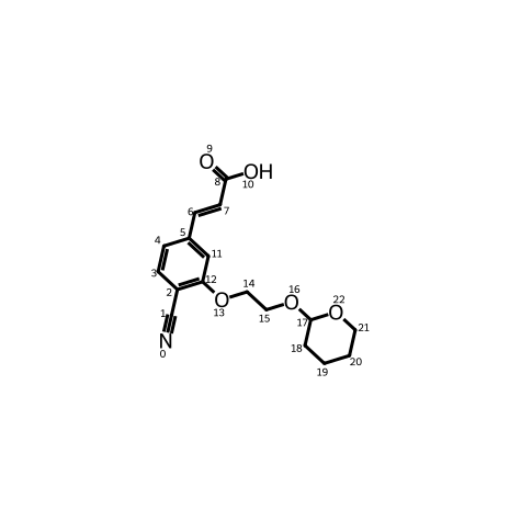 N#Cc1ccc(/C=C/C(=O)O)cc1OCCOC1CCCCO1